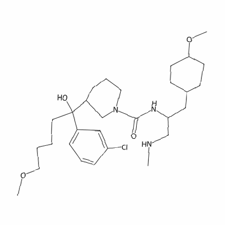 CNCC(CC1CCC(OC)CC1)NC(=O)N1CCCC(C(O)(CCCCOC)c2cccc(Cl)c2)C1